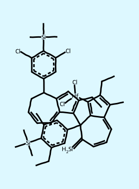 CCC1=C(C2(c3cc(C)c([Si](C)(C)C)c(CC)c3)C(=[SiH2])C=CC=C3C(C)=C(CC)[C]([Hf]([Cl])[Cl])=C32)C2=CC=CCC(c3cc(Cl)c([Si](C)(C)C)c(Cl)c3)C2=C1